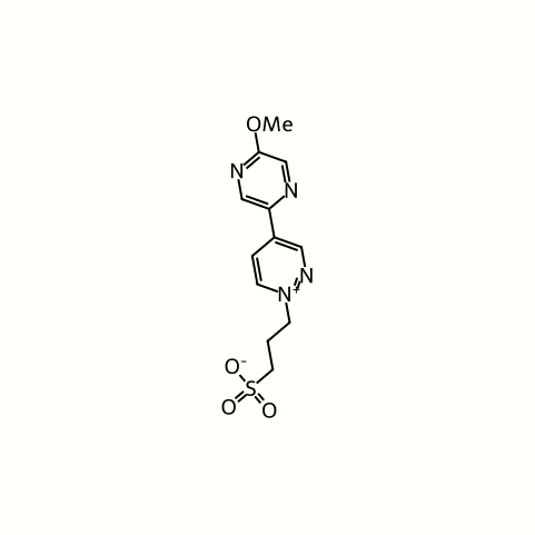 COc1cnc(-c2cc[n+](CCCS(=O)(=O)[O-])nc2)cn1